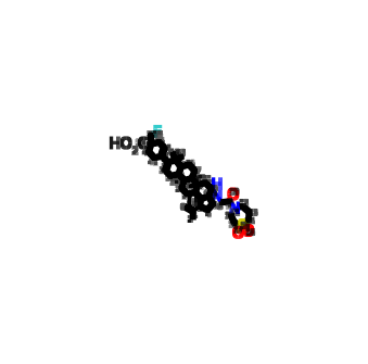 C=C(C)[C@@H]1CC[C@]2(NCC(=O)N3CCCS(=O)(=O)CC3)CC[C@]3(C)[C@H](CCC4[C@@]5(C)CC=C(C6=CC[C@](CF)(C(=O)O)CC6)C(C)(C)C5CC[C@]43C)C12